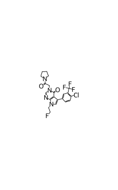 O=C(Cn1cnc2c(c(-c3ccc(Cl)c(C(F)(F)F)c3)cn2CCF)c1=O)N1CCCC1